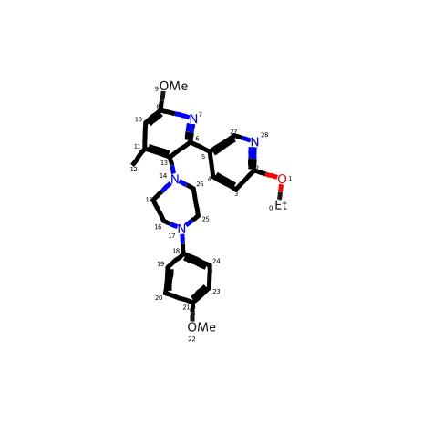 CCOc1ccc(-c2nc(OC)cc(C)c2N2CCN(c3ccc(OC)cc3)CC2)cn1